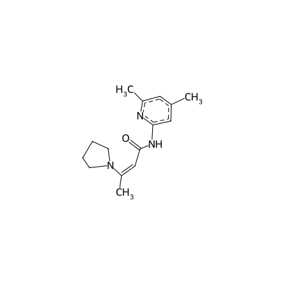 C/C(=C/C(=O)Nc1cc(C)cc(C)n1)N1CCCC1